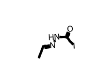 C/C=N/NC(=O)I